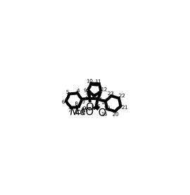 CCOC1(C2CCCCC2)C2C=CC(C2)C1(C(=O)OC)C1CCCCC1